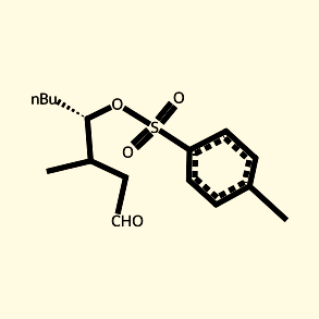 CCCC[C@H](OS(=O)(=O)c1ccc(C)cc1)C(C)CC=O